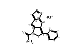 Cl.NC(=O)N1CC(c2ccccn2)=c2cc3c(cc21)=CC=N3